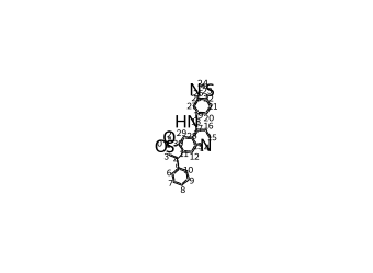 O=S1(=O)C=C(c2ccccc2)c2cc3nccc(Nc4ccc5scnc5c4)c3cc21